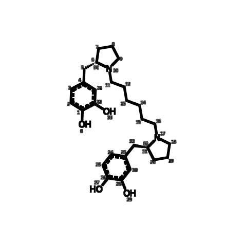 Oc1ccc(C[C@@H]2CCCN2CCCCCCN2CCC[C@H]2Cc2ccc(O)c(O)c2)cc1O